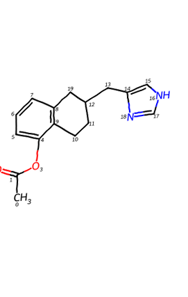 CC(=O)Oc1cccc2c1CCC(Cc1c[nH]cn1)C2